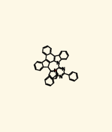 c1ccc(-c2nc(-c3ccccc3)nc(-n3c4ccccc4c4c5ccccc5c5c(c43)C(c3ccccc3)c3ccccc3-5)n2)cc1